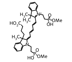 COP(=O)(O)CCN1/C(=C/C=C/C=C/C2=[N+](CCP(=O)(O)OC)c3ccccc3C2(C)C)C(C)(CCCC(=O)O)c2ccccc21